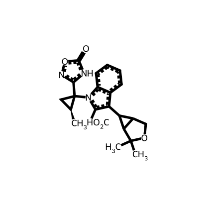 C[C@H]1CC1(c1noc(=O)[nH]1)n1c(C(=O)O)c(C2C3COC(C)(C)C32)c2ccccc21